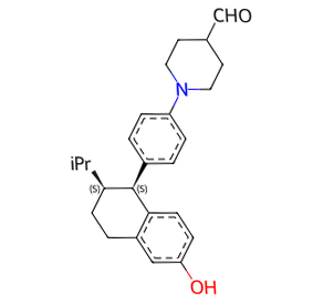 CC(C)[C@@H]1CCc2cc(O)ccc2[C@@H]1c1ccc(N2CCC(C=O)CC2)cc1